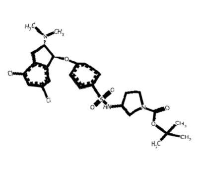 CN(C)[C@H]1Cc2c(Cl)cc(Cl)cc2[C@@H]1Oc1ccc(S(=O)(=O)NC2CCN(C(=O)OC(C)(C)C)C2)cc1